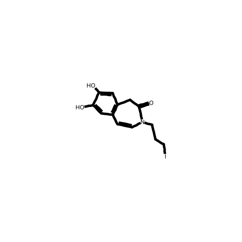 O=C1Cc2cc(O)c(O)cc2C=CN1CCCI